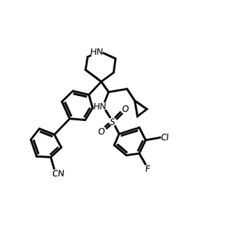 N#Cc1cccc(-c2ccc(C3(C(CC4CC4)NS(=O)(=O)c4ccc(F)c(Cl)c4)CCNCC3)cc2)c1